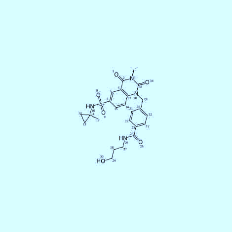 Cn1c(=O)c2cc(S(=O)(=O)NC3(C)CC3)ccc2n(Cc2ccc(C(=O)NCCCO)cc2)c1=O